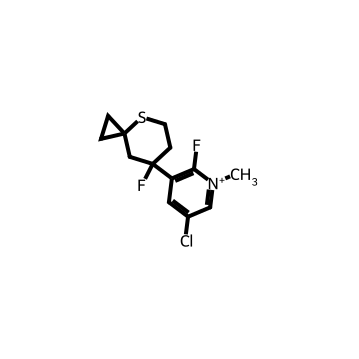 C[n+]1cc(Cl)cc(C2(F)CCSC3(CC3)C2)c1F